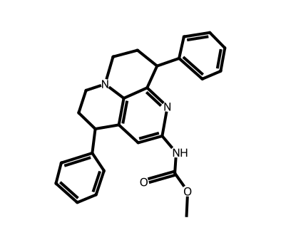 COC(=O)Nc1cc2c3c(n1)C(c1ccccc1)CCN3CCC2c1ccccc1